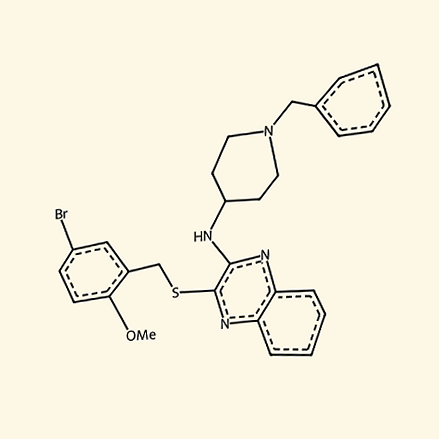 COc1ccc(Br)cc1CSc1nc2ccccc2nc1NC1CCN(Cc2ccccc2)CC1